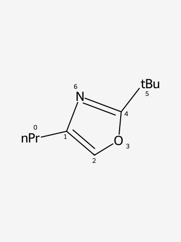 CCCc1coc(C(C)(C)C)n1